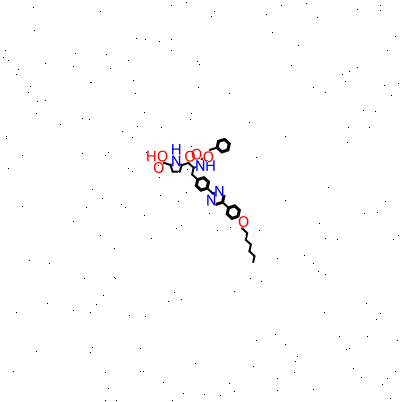 CCCCCCCOc1ccc(-c2cnc(-c3ccc(CC(NC(=O)OCc4ccccc4)C(=O)C4CCC(C(=O)O)N4)cc3)nc2)cc1